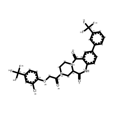 O=C1Nc2ccc(-c3cccc(C(F)(F)F)c3)cc2C(=O)N2CCN(C(=O)COc3ccc(C(F)(F)F)cc3Cl)CC12